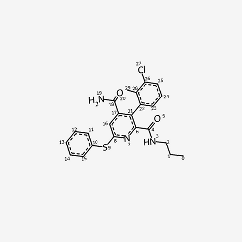 CCCNC(=O)c1nc(Sc2ccccc2)cc(C(N)=O)c1-c1cccc(Cl)c1C